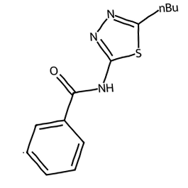 CCCCc1nnc(NC(=O)c2c[c]ccc2)s1